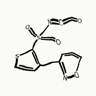 O=C=NS(=O)(=O)c1sccc1-c1ccon1